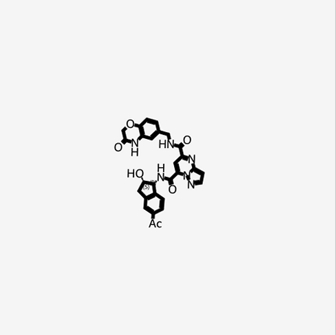 CC(=O)c1ccc2c(c1)C[C@H](O)[C@@H]2NC(=O)c1cc(C(=O)NCc2ccc3c(c2)NC(=O)CO3)nc2ccnn12